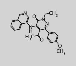 CCn1nc(-c2ccc(OC)cc2)c(C(C)=O)c(Nc2cncc3ccccc23)c1=O